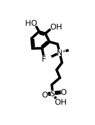 C[N+](C)(CCCCS(=O)(=O)O)Cc1c(F)ccc(O)c1O